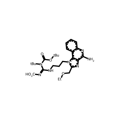 CCOCc1nc2c(N)nc3ccccc3c2n1CCCNC(=NC(=O)O)N(C(=O)OC(C)(C)C)C(C)(C)C